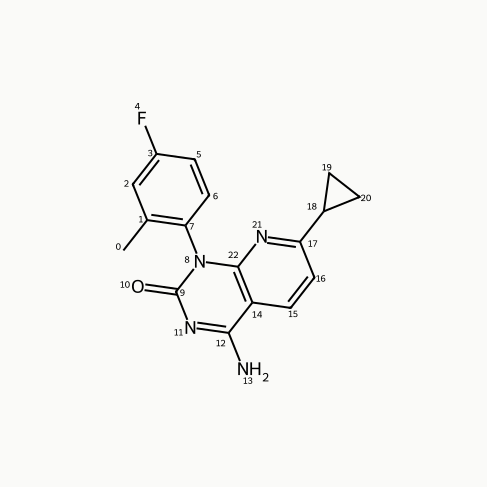 Cc1cc(F)ccc1-n1c(=O)nc(N)c2ccc(C3CC3)nc21